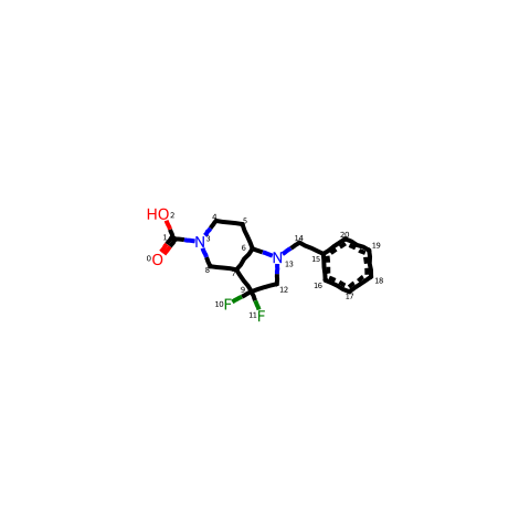 O=C(O)N1CCC2C(C1)C(F)(F)CN2Cc1ccccc1